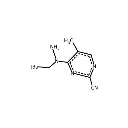 Cc1cnc(C#N)nc1N(N)CC(C)(C)C